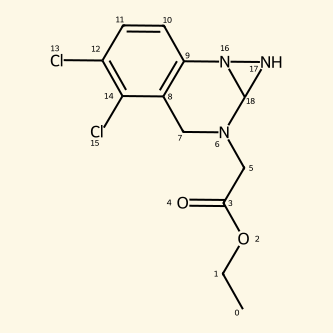 CCOC(=O)CN1Cc2c(ccc(Cl)c2Cl)N2NC12